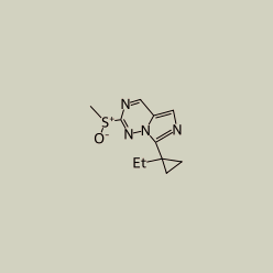 CCC1(c2ncc3cnc([S+](C)[O-])nn23)CC1